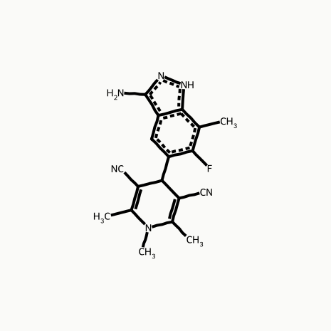 CC1=C(C#N)C(c2cc3c(N)n[nH]c3c(C)c2F)C(C#N)=C(C)N1C